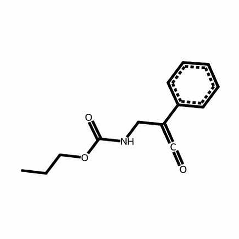 CCCOC(=O)NCC(=C=O)c1ccccc1